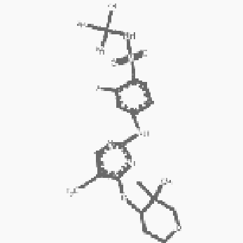 [2H]C([2H])([2H])NS(=O)(=O)c1ccc(Nc2ncc(C(F)(F)F)c(OC3CCOCC3(C)O)n2)cc1F